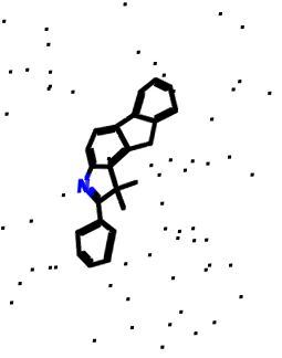 CC1(C)C(c2ccccc2)=Nc2ccc3c(c21)Cc1ccccc1-3